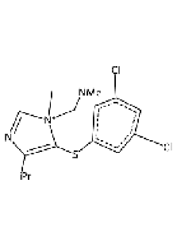 CNC[N+]1(C)C=NC(C(C)C)=C1Sc1cc(Cl)cc(Cl)c1